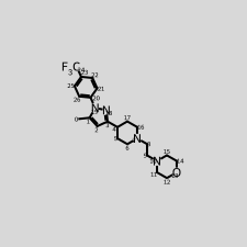 Cc1cc(C2CCN(CCN3CCOCC3)CC2)nn1-c1ccc(C(F)(F)F)cc1